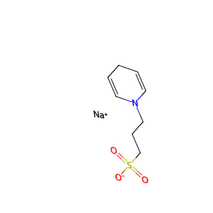 O=S(=O)([O-])CCCN1C=CCC=C1.[Na+]